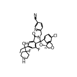 CCC(O)(c1cc(F)c2c(c1)C(=O)N(Cc1ccc(C#N)cn1)[C@@]2(O[C@H]1CCOC1)c1ccc(Cl)cc1)C1(F)CCNCC1